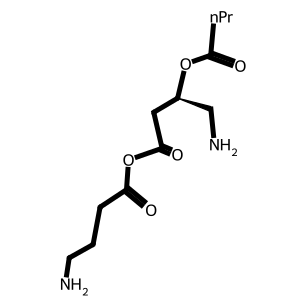 CCCC(=O)O[C@@H](CN)CC(=O)OC(=O)CCCN